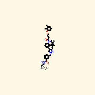 Cc1cccc(OCCCC(=O)N2C[C@@H]3C[C@@H]3c3c(-c4cnn(Cc5cccc(C(=O)NCCS(=O)(=O)O)c5)c4)cccc32)c1C